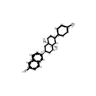 CCC1CCC(C2CC[C@@H]3C[C@H](c4ccc5cc(F)ccc5c4)CC[C@@H]3C2)CC1